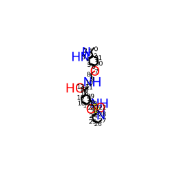 Cc1n[nH]c2cc(OCCNC[C@H](O)c3cccc(NS(=O)(=O)c4ccccn4)c3)ccc12